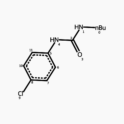 CCCCNC(=O)Nc1ccc(Cl)cc1